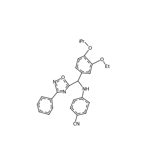 CCOc1cc(C(Nc2ccc(C#N)cc2)c2nc(-c3ccccc3)no2)ccc1OC(C)C